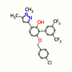 Cc1cc(-c2ccc(OCc3ccc(Cl)cc3)c(-c3cc(C(F)(F)F)cc(C(F)(F)F)c3)c2O)nn1C